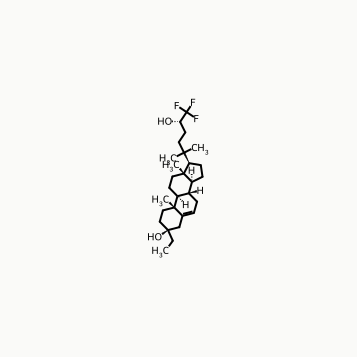 CC[C@]1(O)CC[C@@]2(C)C(=CC[C@H]3[C@@H]4CC[C@H](C(C)(C)CC[C@H](O)C(F)(F)F)[C@@]4(C)CC[C@@H]32)C1